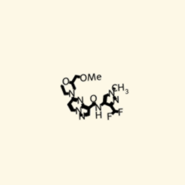 COCC1CN(c2ccn3ncc(C(=O)Nc4cn(C)nc4C(F)F)c3n2)CCO1